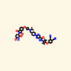 CC(C)N(CC1CCN(c2ncc(C(=O)NC3C(C)(C)C(Oc4ccc(C#N)c(C#N)c4)C3(C)C)cn2)CC1)C1CC(Oc2ccc3c(c2)C(=O)N([C@@H]2CCC(=O)NC2=O)C3=O)C1